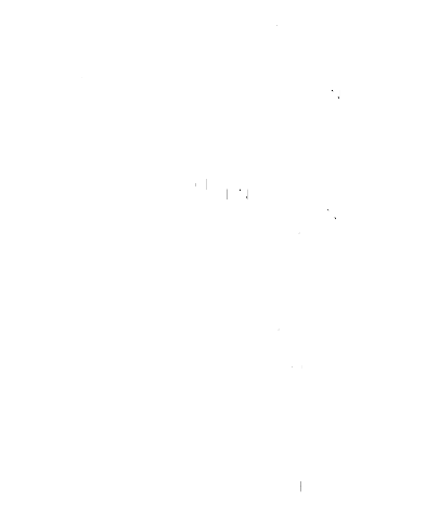 C#CCOc1ccc(Nc2ccnc(Cl)c2-c2ccc(F)cc2Cl)c([N+](=O)[O-])c1